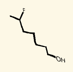 CC(F)CCCCCO